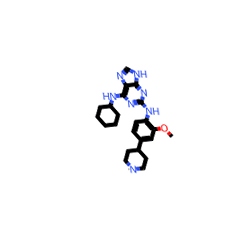 COc1cc(C2CC[N]CC2)ccc1Nc1nc(NC2CCCCC2)c2nc[nH]c2n1